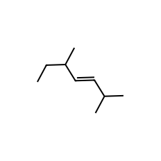 CCC(C)C=CC(C)C